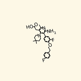 Cc1nc(N)c(-c2ccc(OCCc3ccc(F)cc3)c(F)c2)c(N2CCC(C)(C)CC2)c1CC(=O)O